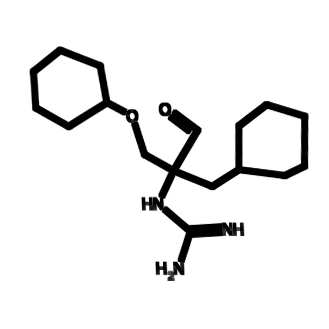 N=C(N)NC(C=O)(COC1CCCCC1)CC1CCCCC1